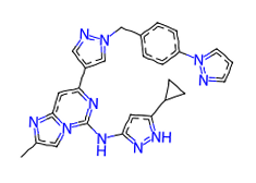 Cc1cn2c(Nc3cc(C4CC4)[nH]n3)nc(-c3cnn(Cc4ccc(-n5cccn5)cc4)c3)cc2n1